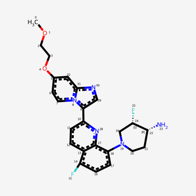 COCCOc1ccn2c(-c3ccc4c(F)ccc(N5CC[C@@H](N)[C@@H](F)C5)c4n3)cnc2c1